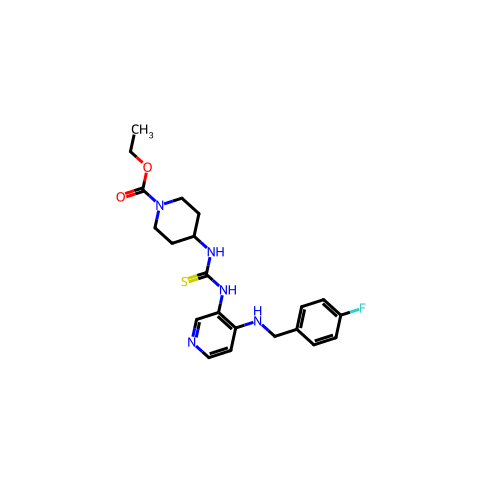 CCOC(=O)N1CCC(NC(=S)Nc2cnccc2NCc2ccc(F)cc2)CC1